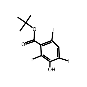 CC(C)(C)OC(=O)c1c(I)cc(I)c(O)c1I